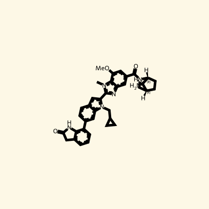 COc1cc(C(=O)N2C[C@H]3CC[C@@H]2[C@@H]3N)cc2nc(-c3cc4ccc(-c5cccc6c5NC(=O)C6)cc4n3CC3CC3)n(C)c12